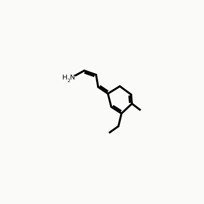 CCC1=C/C(=C/C=C\N)CC=C1C